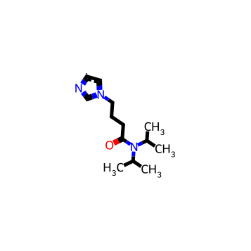 CC(C)N(C(=O)CCCn1c[c]nc1)C(C)C